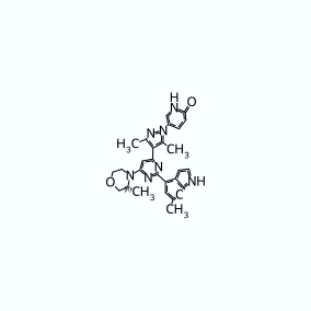 Cc1cc(-c2nc(-c3c(C)nn(-c4ccc(=O)[nH]c4)c3C)cc(N3CCOC[C@H]3C)n2)c2cc[nH]c2c1